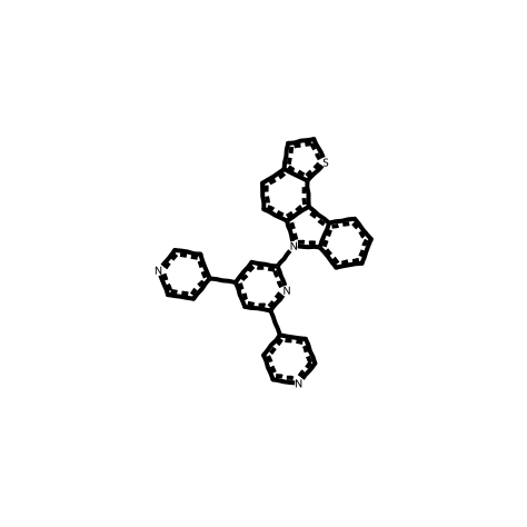 c1ccc2c(c1)c1c3sccc3ccc1n2-c1cc(-c2ccncc2)cc(-c2ccncc2)n1